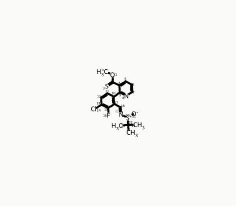 COC(=S)c1cccnc1-c1ccc(Cl)c(F)c1/C=N/[S+]([O-])C(C)(C)C